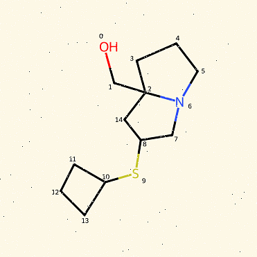 OCC12CCCN1CC(SC1CCC1)C2